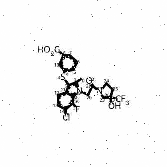 Cc1c(Sc2cccc(C(=O)O)c2)c2ccc(Cl)c(F)c2n1CC(=O)N1CCC(O)(C(F)(F)F)C1